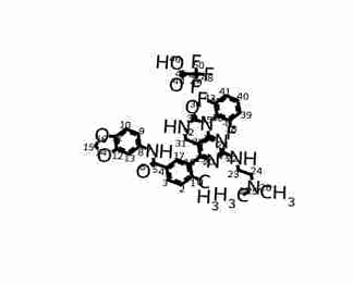 Cc1ccc(C(=O)Nc2ccc3c(c2)OCO3)cc1-c1nc(NCCN(C)C)nc2c1CNC(=O)N2c1c(F)cccc1F.O=C(O)C(F)(F)F